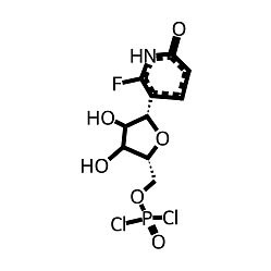 O=c1ccc([C@@H]2O[C@H](COP(=O)(Cl)Cl)C(O)C2O)c(F)[nH]1